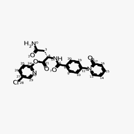 NC(=O)C[C@H](NC(=O)c1ccc(-n2ccccc2=O)cc1)C(=O)Oc1ccc(Cl)cn1